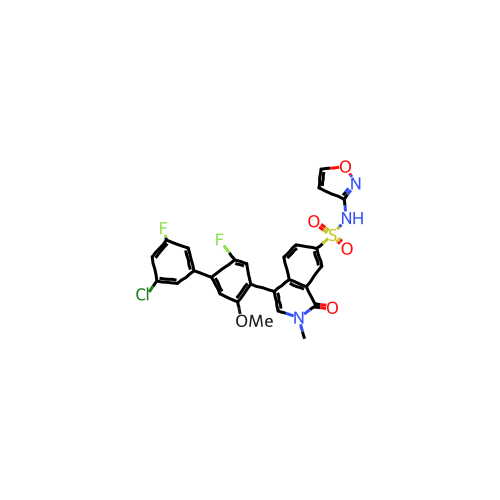 COc1cc(-c2cc(F)cc(Cl)c2)c(F)cc1-c1cn(C)c(=O)c2cc(S(=O)(=O)Nc3ccon3)ccc12